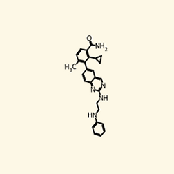 Cc1ccc(C(N)=O)c(C2CC2)c1-c1ccc2nc(NCCNc3ccccc3)ncc2c1